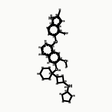 COc1cc2c(Oc3ccc4[nH]c(C)cc4c3F)ncnc2cc1OC1(C2CC(NC3CCCC3)C2)CCCCC1